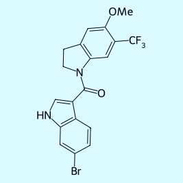 COc1cc2c(cc1C(F)(F)F)N(C(=O)c1c[nH]c3cc(Br)ccc13)CC2